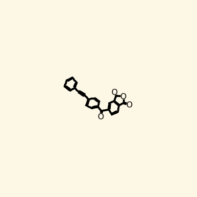 O=C(c1ccc(C#Cc2ccccc2)cc1)c1ccc2c(c1)C(=O)OC2=O